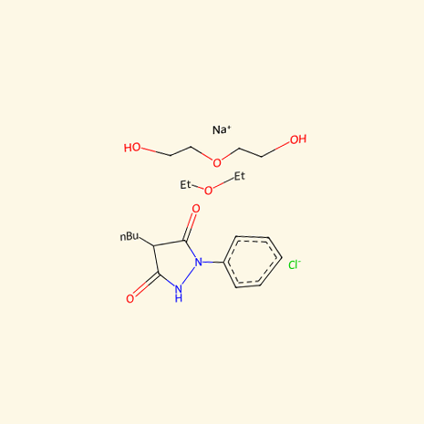 CCCCC1C(=O)NN(c2ccccc2)C1=O.CCOCC.OCCOCCO.[Cl-].[Na+]